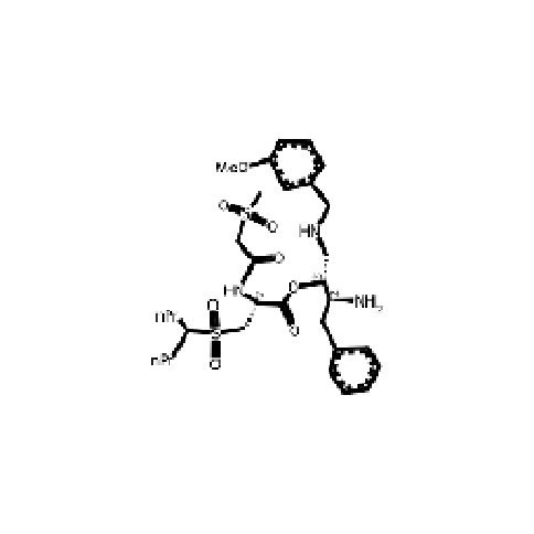 CCCC(CCC)S(=O)(=O)C[C@H](NC(=O)CS(C)(=O)=O)C(=O)O[C@H](CNCc1cccc(OC)c1)[C@@H](N)Cc1ccccc1